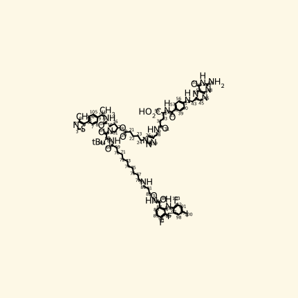 Cc1ncsc1-c1ccc([C@H](C)NC(=O)[C@@H]2C[C@@H](OC(=O)CCCCn3cc(CNC(=O)CC[C@H](NC(=O)c4ccc(NCc5cnc6nc(N)[nH]c(=O)c6n5)cc4)C(=O)O)nn3)CN2C(=O)[C@@H](NC(=O)CCCCCCCCCCNCCCONC(=O)c2ccc(F)c(F)c2Nc2ccc(I)cc2F)C(C)(C)C)cc1